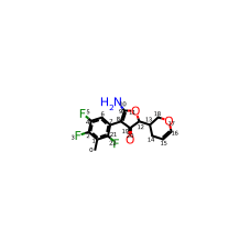 Cc1c(F)c(F)cc(C2=C(N)OC(C3CC=COC3)C2=O)c1F